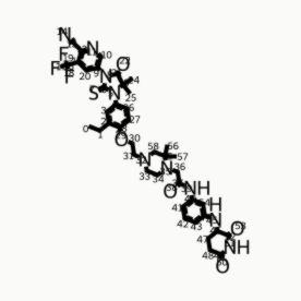 CCc1cc(N2C(=S)N(c3cnc(C#N)c(C(F)(F)F)c3)C(=O)C2(C)C)ccc1OCCN1CCN(CC(=O)Nc2cccc(NC3CCC(=O)NC3=O)c2)C(C)(C)C1